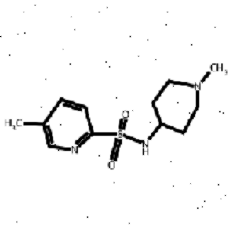 Cc1ccc(S(=O)(=O)NC2CCN(C)CC2)nc1